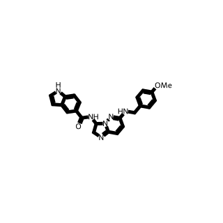 COc1ccc(CNC2=NN3C(=NCC3NC(=O)c3ccc4[nH]ccc4c3)C=C2)cc1